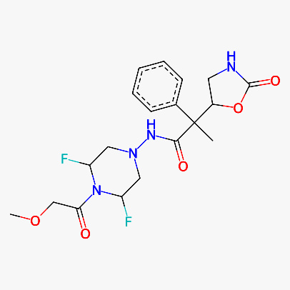 COCC(=O)N1C(F)CN(NC(=O)C(C)(c2ccccc2)C2CNC(=O)O2)CC1F